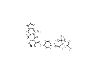 Cc1c(Nc2c(C#N)cncc2C=Cc2ccc(CNC3CN(C(=O)O)C3C(C)(C)C)cc2)ccc2[nH]ccc12